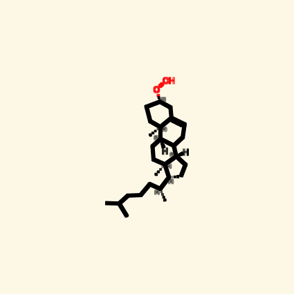 CC(C)CCC[C@@H](C)[C@H]1CC[C@H]2C3CC=C4C[C@@H](OO)CC[C@]4(C)[C@H]3CC[C@]12C